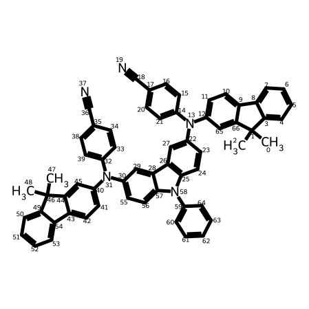 CC1(C)c2ccccc2-c2ccc(N(c3ccc(C#N)cc3)c3ccc4c(c3)c3cc(N(c5ccc(C#N)cc5)c5ccc6c(c5)C(C)(C)c5ccccc5-6)ccc3n4-c3ccccc3)cc21